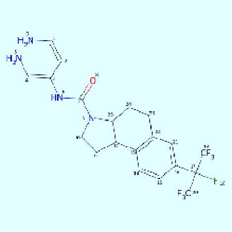 N/C=C\C(=C/N)NC(=O)N1CCC2c3ccc(C(F)(C(F)(F)F)C(F)(F)F)cc3CCC21